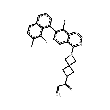 C=CC(=O)N1CC2(C1)CN(c1ncnc3c(F)c(-c4cccc5ccc(F)c(Cl)c45)ncc13)C2